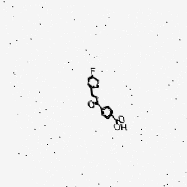 O=C(O)c1ccc(C(=O)C=Cc2ccc(F)cc2)cc1